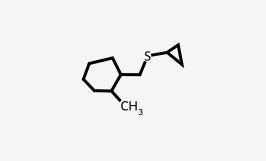 CC1CCCCC1CSC1CC1